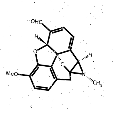 COc1ccc2c3c1O[C@@H]1C(C=O)=CC=C4[C@H]5[N@](C)C5(C2)C[C@]431